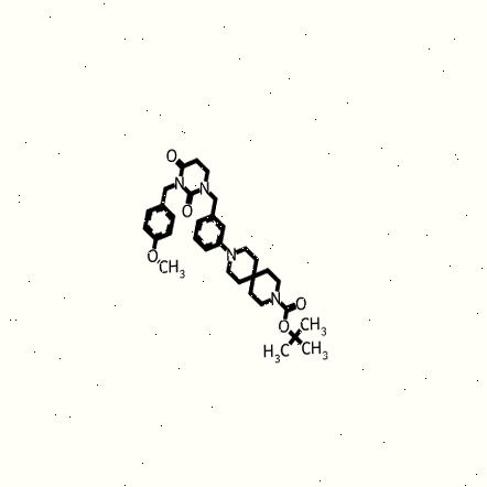 COc1ccc(CN2C(=O)CCN(Cc3cccc(N4CCC5(CCN(C(=O)OC(C)(C)C)CC5)CC4)c3)C2=O)cc1